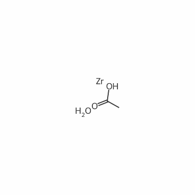 CC(=O)O.O.[Zr]